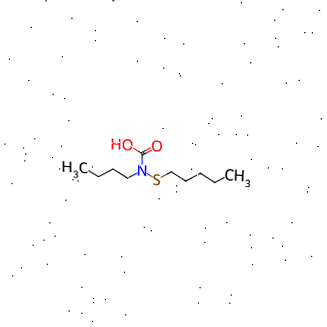 CCCCCSN(CCCC)C(=O)O